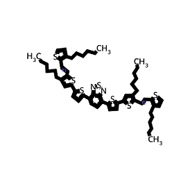 CCCCCCc1ccsc1/C=C/c1sc(-c2ccc(-c3ccc(-c4ccc(-c5cc(CCCCCC)c(/C=C/c6sccc6CCCCCC)s5)s4)c4nsnc34)s2)cc1CCCCCC